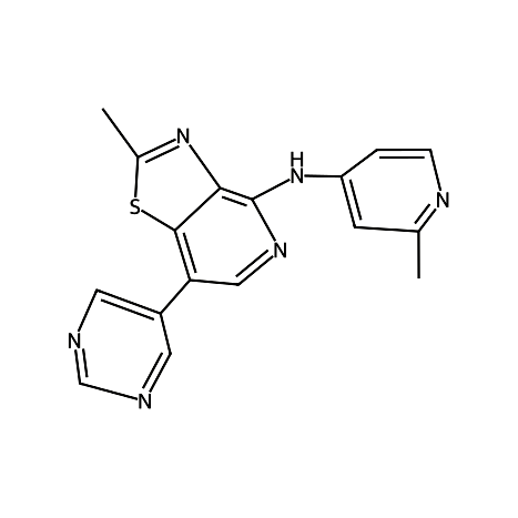 Cc1cc(Nc2ncc(-c3cncnc3)c3sc(C)nc23)ccn1